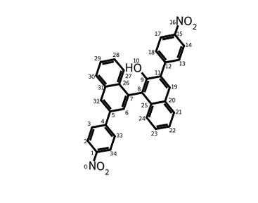 O=[N+]([O-])c1ccc(-c2cc(-c3c(O)c(-c4ccc([N+](=O)[O-])cc4)cc4ccccc34)c3ccccc3c2)cc1